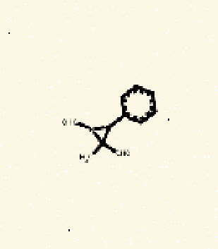 CC1(C=O)C(c2ccccc2)N1C=O